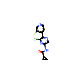 O=C(Nc1cnc(-c2ccncc2F)c(Cl)n1)C1CC1